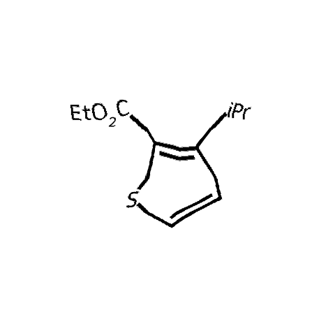 CCOC(=O)c1sccc1C(C)C